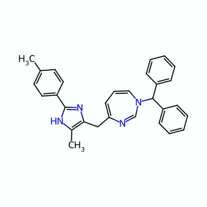 Cc1ccc(-c2nc(CC3=CC=CN(C(c4ccccc4)c4ccccc4)C=N3)c(C)[nH]2)cc1